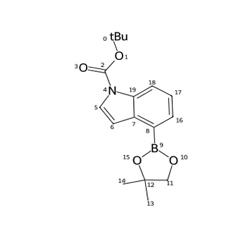 CC(C)(C)OC(=O)n1ccc2c(B3OCC(C)(C)O3)cccc21